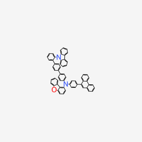 c1ccc(-n2c3ccccc3c3ccccc32)c(-c2ccc(-c3ccc(N(c4ccc(-c5cc6ccccc6c6ccccc56)cc4)c4cccc5oc6ccccc6c45)cc3)cc2)c1